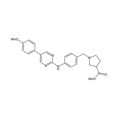 COC(=O)C1CCN(Cc2ccc(Nc3ncc(-c4ccc(OC)cc4)cn3)cc2)C1